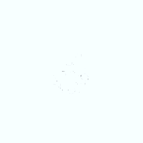 C[C@@H]1[C@@H](C)C/C=C(\F)[C@H](C(=O)N2CCCC3(C2)CC3(F)F)N2CCC[C@H]2CN2C[C@@]3(CCCc4cc(Cl)ccc43)COc3ccc(cc32)C(=O)NS1(=O)=O